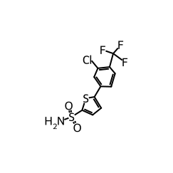 NS(=O)(=O)c1ccc(-c2ccc(C(F)(F)F)c(Cl)c2)s1